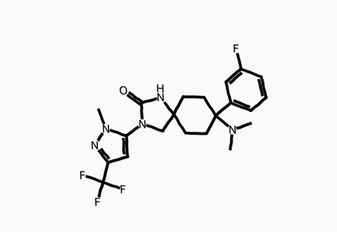 CN(C)C1(c2cccc(F)c2)CCC2(CC1)CN(c1cc(C(F)(F)F)nn1C)C(=O)N2